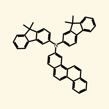 CC1(C)c2ccccc2-c2cc(N(c3ccc4c(c3)C(C)(C)c3ccccc3-4)c3ccc4ccc5c6ccccc6ccc5c4c3)ccc21